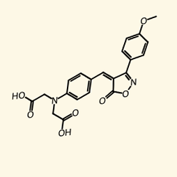 COc1ccc(C2=NOC(=O)C2=Cc2ccc(N(CC(=O)O)CC(=O)O)cc2)cc1